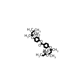 C=CC(=O)OC(C)(C)CC(C)(C)Oc1ccc(C(=O)Oc2ccc(OC(C)(C)CC(C)(C)C)cc2)cc1